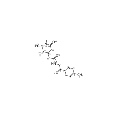 CC1=CCC(C(=O)CNC(=O)CN2CC(=O)N[C@@H](C(C)C)C2=O)C=C1